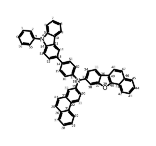 c1ccc(-n2c3ccccc3c3cc(-c4ccc(N(c5ccc6c(ccc7ccccc76)c5)c5ccc6c(c5)oc5c7ccccc7ccc65)cc4)ccc32)cc1